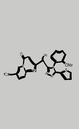 COc1ccccc1-n1c(-c2cccs2)nnc1C(S)c1cc(=O)n2cc(Cl)ccc2n1